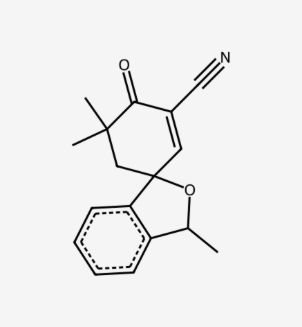 CC1OC2(C=C(C#N)C(=O)C(C)(C)C2)c2ccccc21